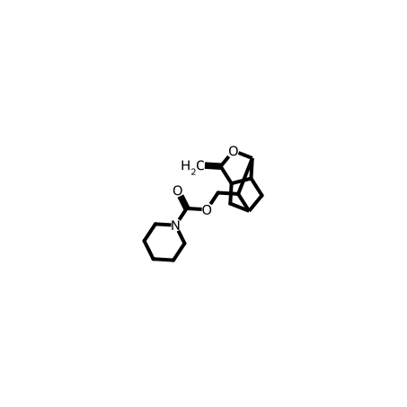 C=C1OC2C(COC(=O)N3CCCCC3)C3CC1C2C3